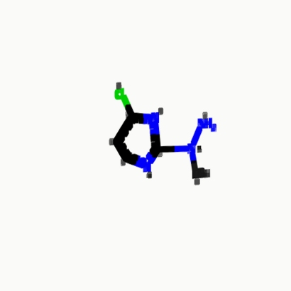 CCCCN(N)c1nccc(Cl)n1